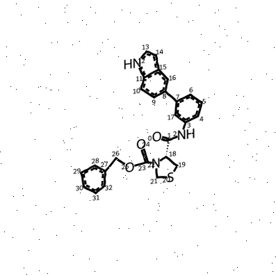 O=C(Nc1cccc(-c2ccc3[nH]ccc3c2)c1)[C@@H]1CSCN1C(=O)OCc1ccccc1